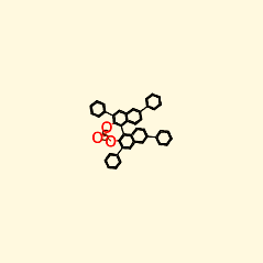 O=S1Oc2c(-c3ccccc3)cc3cc(-c4ccccc4)ccc3c2-c2c(c(-c3ccccc3)cc3cc(-c4ccccc4)ccc23)O1